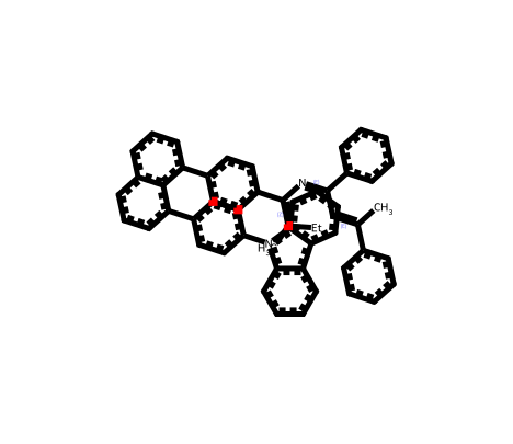 CC\C(C)=C(/N=C(\C=C(/C)c1ccccc1)c1ccccc1)c1ccc(-c2cccc3cccc(-c4ccc(-n5c6ccccc6c6ccccc65)cc4)c23)cc1